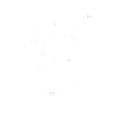 COc1ccc(COC(=O)C2=C(C)NC3=C(C(=O)CC(C)C3)C2c2ccc(-c3ccccc3)cc2)cc1